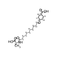 C[C@H](NC(=O)CCCCCCCCCCOc1ccc(C(=O)O)cc1)C(=O)O